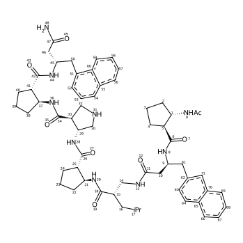 CC(=O)N[C@H]1CCC[C@@H]1C(=O)N[C@H](CC(=O)NC[C@H](CC(C)C)C(=O)N[C@H]1CCC[C@@H]1C(=O)N[C@H]1CNC[C@@H]1C(=O)N[C@H]1CCC[C@@H]1C(=O)N[C@H](CC(N)=O)Cc1cccc2ccccc12)Cc1ccc2ccccc2c1